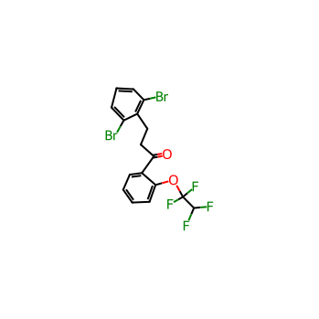 O=C(CCc1c(Br)cccc1Br)c1ccccc1OC(F)(F)C(F)F